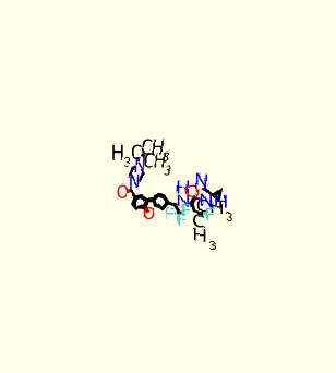 CC(C)(F)CC(NC(c1ccc2c(c1)oc1ccc(C(=O)N3CCN(C(C)(C)C)CC3)cc12)C(F)(F)F)C(=O)NC1(C#N)CC1